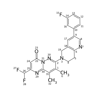 Cc1c(N2CCc3ncc(-c4cccc(F)c4)cc3C2)nn2c(=O)cc(C(F)F)nc2c1C